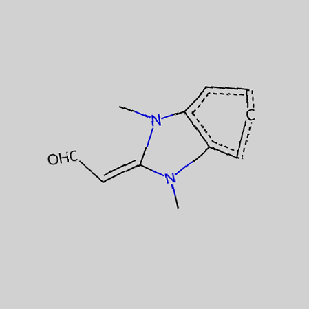 CN1C(=CC=O)N(C)c2ccccc21